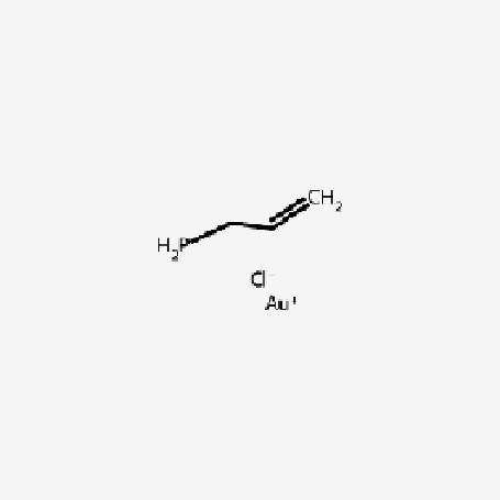 C=CCP.[Au+].[Cl-]